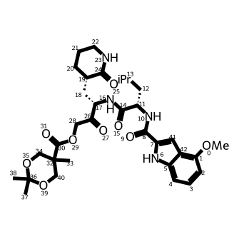 COc1cccc2[nH]c(C(=O)N[C@@H](CC(C)C)C(=O)N[C@@H](C[C@@H]3CCCNC3=O)C(=O)COC(=O)C3(C)COC(C)(C)OC3)cc12